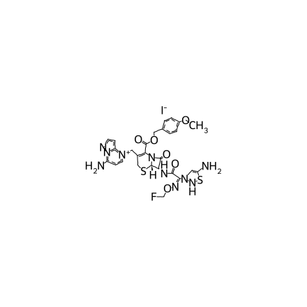 COc1ccc(COC(=O)C2=C(C[n+]3ccc(N)n4nccc43)CS[C@H]3[C@H](NC(=O)C(=NOCF)N4C=C(N)SN4)C(=O)N23)cc1.[I-]